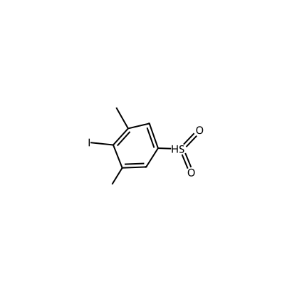 Cc1cc([SH](=O)=O)cc(C)c1I